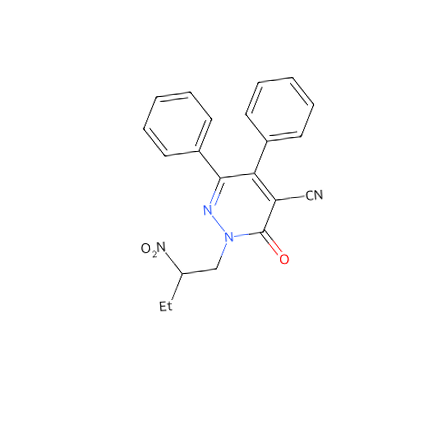 CCC(Cn1nc(-c2ccccc2)c(-c2ccccc2)c(C#N)c1=O)[N+](=O)[O-]